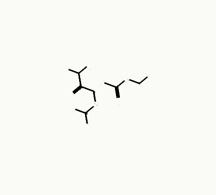 CCNC(=O)C[C@H](NC(C)C)C(=O)C(C)C